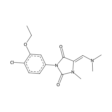 CCOc1cc(N2C(=O)C(=CN(C)C)N(C)C2=O)ccc1Cl